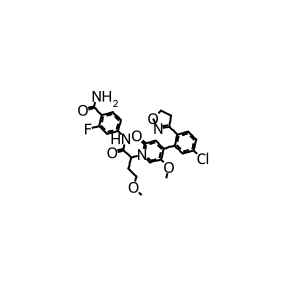 COCCC(C(=O)Nc1ccc(C(N)=O)c(F)c1)n1cc(OC)c(-c2cc(Cl)ccc2C2=NOCC2)cc1=O